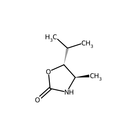 CC(C)[C@H]1OC(=O)N[C@@H]1C